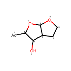 CC(=O)C1OC2OCCC2C1O